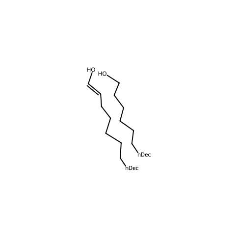 CCCCCCCCCCCCCCCC=CO.CCCCCCCCCCCCCCCCO